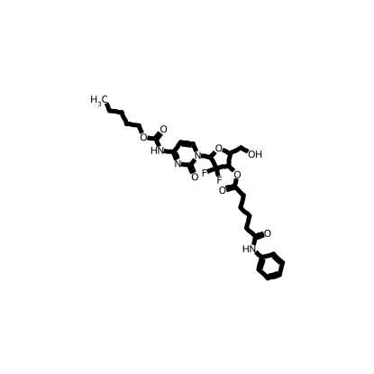 CCCCCOC(=O)Nc1ccn(C2OC(CO)C(OC(=O)CCCCC(=O)Nc3ccccc3)C2(F)F)c(=O)n1